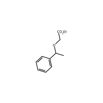 CCOC(=O)COC(C)c1ccccc1